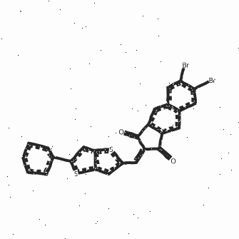 O=C1C(=Cc2cc3sc(-c4ccccc4)cc3s2)C(=O)c2cc3cc(Br)c(Br)cc3cc21